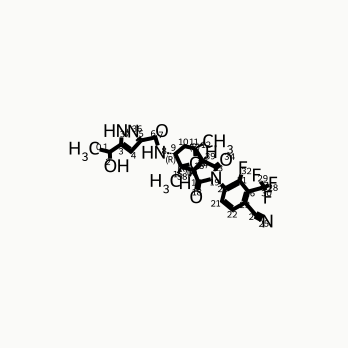 CC(O)c1cc(C(=O)N[C@@H]2C[C@@]3(C)O[C@]2(C)[C@@H]2C(=O)N(c4ccc(C#N)c(C(F)(F)F)c4F)C(=O)[C@@H]23)n[nH]1